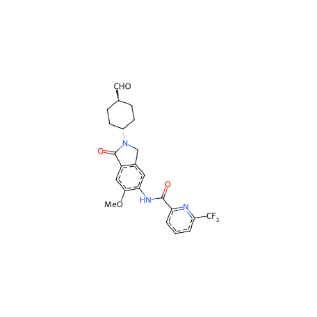 COc1cc2c(cc1NC(=O)c1cccc(C(F)(F)F)n1)CN([C@H]1CC[C@H](C=O)CC1)C2=O